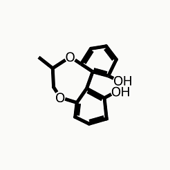 CC1COc2cccc(O)c2-c2c(O)cccc2O1